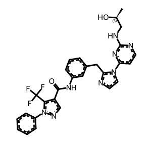 C[C@H](O)CNc1nccc(-n2ccnc2Cc2cccc(NC(=O)c3cnn(-c4ccccc4)c3C(F)(F)F)c2)n1